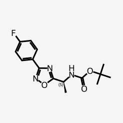 C[C@H](NC(=O)OC(C)(C)C)c1nc(-c2ccc(F)cc2)no1